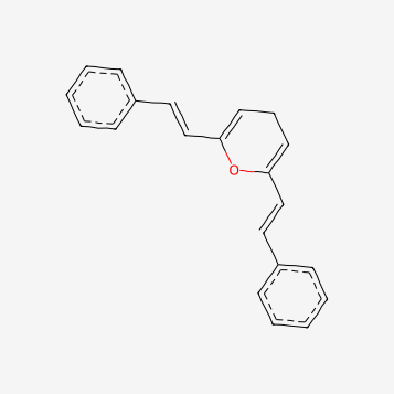 C(=Cc1ccccc1)C1=CCC=C(C=Cc2ccccc2)O1